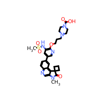 CN1C(=O)C2(CCC2)c2c1cnc1ccc(-c3cnc(OCCCN4CCN(C(=O)O)CC4)c(NS(C)(=O)=O)c3)cc21